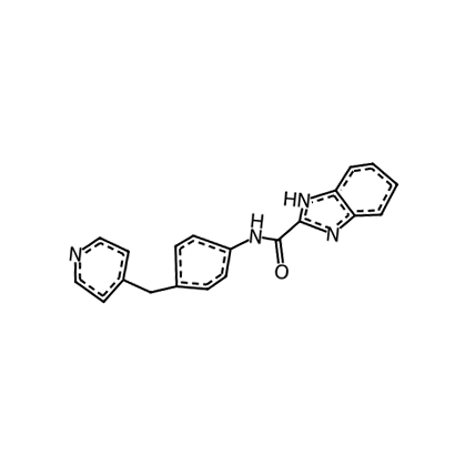 O=C(Nc1ccc(Cc2ccncc2)cc1)c1nc2ccccc2[nH]1